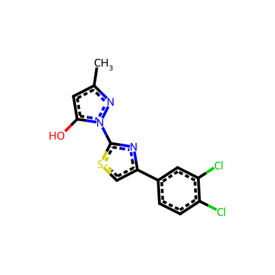 Cc1cc(O)n(-c2nc(-c3ccc(Cl)c(Cl)c3)cs2)n1